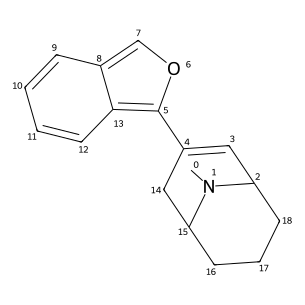 CN1C2C=C(c3occ4ccccc34)CC1CCC2